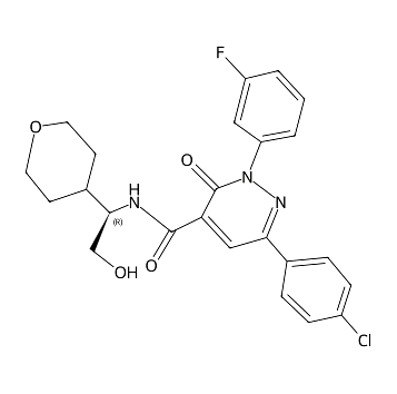 O=C(N[C@@H](CO)C1CCOCC1)c1cc(-c2ccc(Cl)cc2)nn(-c2cccc(F)c2)c1=O